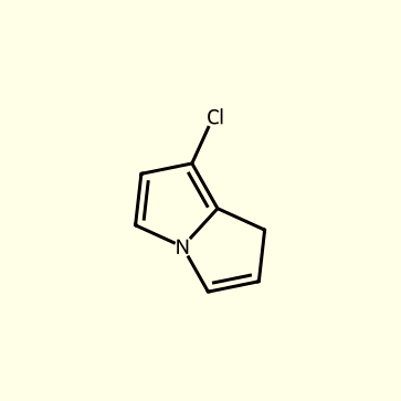 Clc1ccn2c1CC=C2